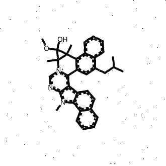 COC1(O)C2(C)c3c(cc(CC(C)C)c4ccccc34)-c3c4c5ccc6ccccc6c5n(C)c4nc[n+]3C12C